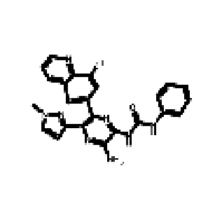 Cn1ccc(-c2nc(N)c(NC(=O)Nc3ccccc3)nc2-c2cc(Cl)c3ncccc3c2)n1